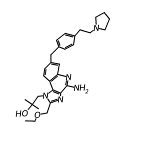 CCOCc1nc2c(N)nc3cc(Cc4ccc(CCN5CCCC5)cc4)ccc3c2n1CC(C)(C)O